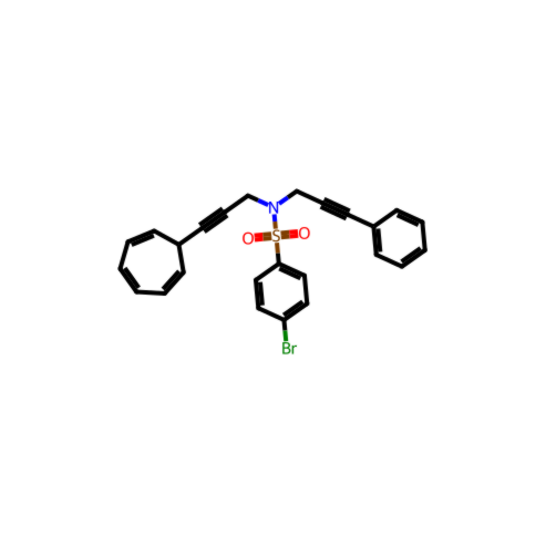 O=S(=O)(c1ccc(Br)cc1)N(CC#Cc1ccccc1)CC#CC1C=CC=CC=C1